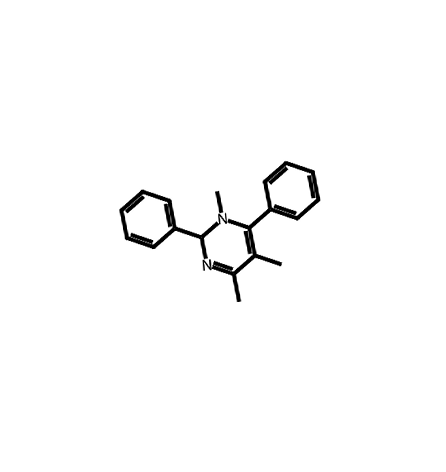 CC1=NC(c2ccccc2)N(C)C(c2ccccc2)=C1C